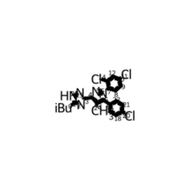 CCC(C)c1nc(-c2nn(-c3ccc(Cl)cc3Cl)c(-c3ccc(Cl)cc3)c2C)n[nH]1